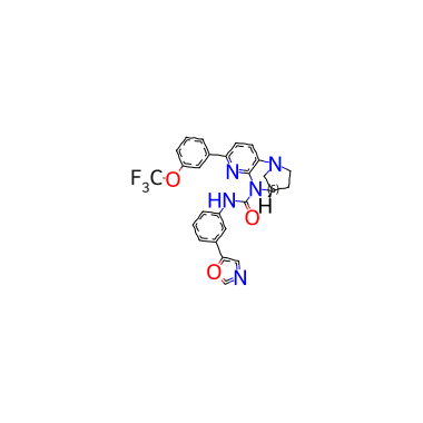 O=C(Nc1cccc(-c2cnco2)c1)N1c2nc(-c3cccc(OC(F)(F)F)c3)ccc2N2CC[C@H]1C2